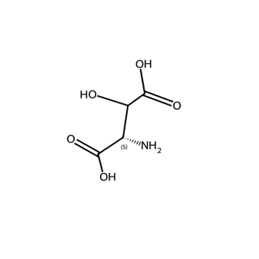 N[C@H](C(=O)O)C(O)C(=O)O